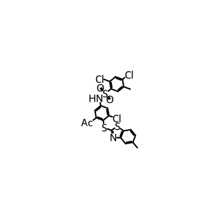 CC(=O)c1cc(NS(=O)(=O)c2cc(C)c(Cl)cc2Cl)cc(Cl)c1Sc1nc2cc(C)ccc2s1